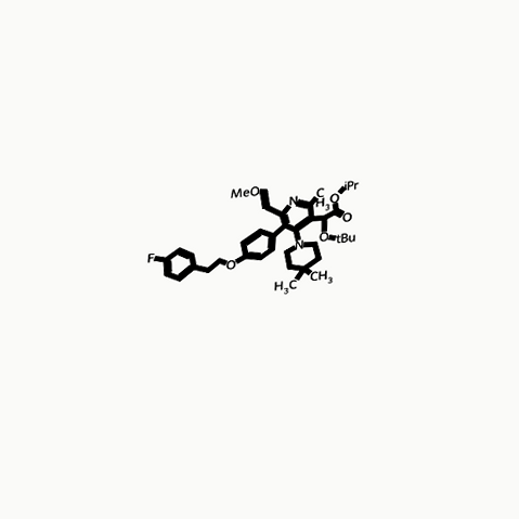 COC=Cc1nc(C)c(C(OC(C)(C)C)C(=O)OC(C)C)c(N2CCC(C)(C)CC2)c1-c1ccc(OCCc2ccc(F)cc2)cc1